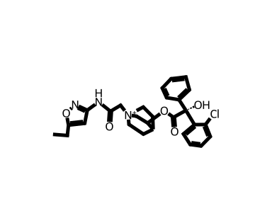 CCc1cc(NC(=O)C[N+]23CCC(CC2)C(OC(=O)[C@@](O)(c2ccccc2)c2ccccc2Cl)C3)no1